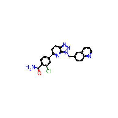 NC(=O)c1ccc(-c2ccc3nnn(Cc4ccc5ncccc5c4)c3n2)cc1Cl